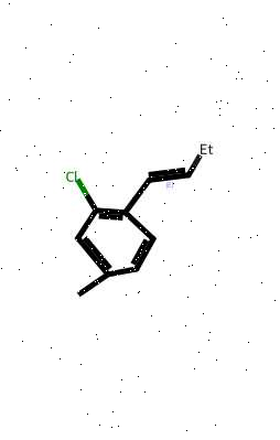 CC/C=C/c1ccc(C)cc1Cl